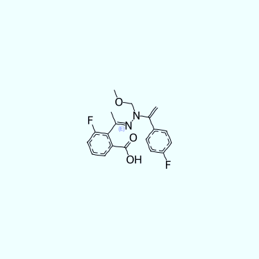 C=C(c1ccc(F)cc1)N(COC)/N=C(\C)c1c(F)cccc1C(=O)O